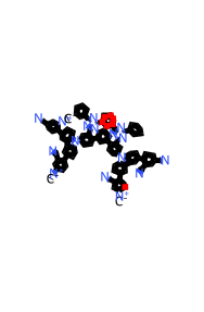 [C-]#[N+]c1ccc(-c2ccc3c(c2)c2cc(-c4ccc(C#N)cc4C#N)ccc2n3-c2ccc(-c3cccc(-c4ccc(-n5c6ccc(-c7ccc([N+]#[C-])cc7C#N)cc6c6cc(-c7ccc(C#N)cc7[N+]#[C-])ccc65)cc4-c4nc(-c5ccccc5)nc(-c5ccccc5)n4)c3)c(-c3nc(-c4ccccc4)nc(-c4ccccc4)n3)c2)c(C#N)c1